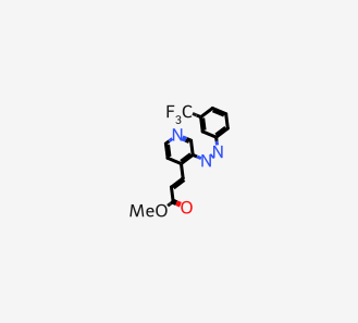 COC(=O)/C=C/c1ccncc1/N=N\c1cccc(C(F)(F)F)c1